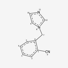 N#Cc1ccccc1Cn1ccnc1